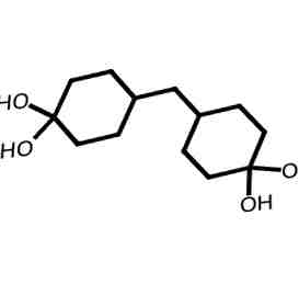 OC1(O)CCC(CC2CCC(O)(O)CC2)CC1